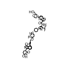 Cn1nc(C2CCC(=O)NC2=O)c2cccc(C#CCO[C@@H]3CCN(C[C@H]4CC[C@H](n5cc(NC(=O)c6cnn7ccc(N8CCO[C@@H](CO)C8)nc67)c(C(F)F)n5)CC4)C[SH]3F)c21